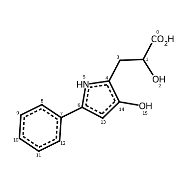 O=C(O)C(O)Cc1[nH]c(-c2ccccc2)cc1O